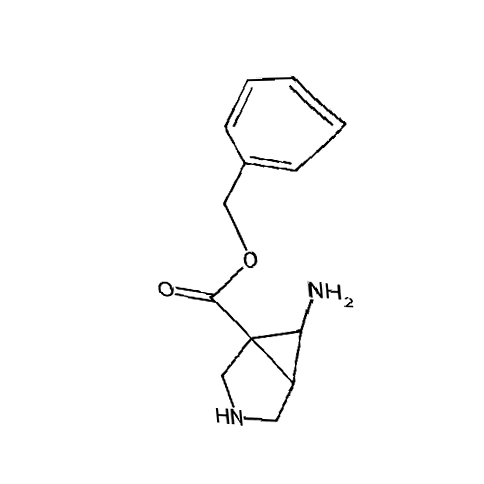 NC1C2CNCC12C(=O)OCc1ccccc1